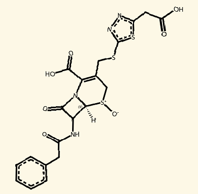 O=C(O)Cc1nnc(SCC2=C(C(=O)O)N3C(=O)C(NC(=O)Cc4ccccc4)[C@@H]3[S+]([O-])C2)s1